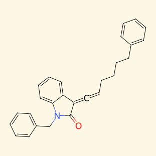 O=C1C(=C=CCCCCc2ccccc2)c2ccccc2N1Cc1ccccc1